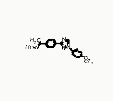 CC(=NO)c1ccc(-c2ncn(-c3ccc(OC(F)(F)F)cc3)n2)cc1